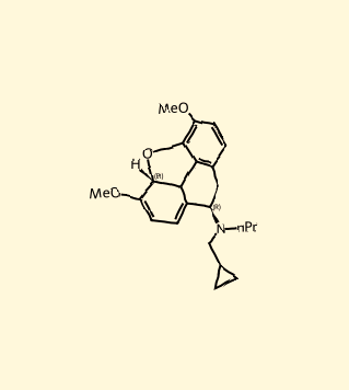 CCCN(CC1CC1)[C@@H]1Cc2ccc(OC)c3c2C2C1=CC=C(OC)[C@@H]2O3